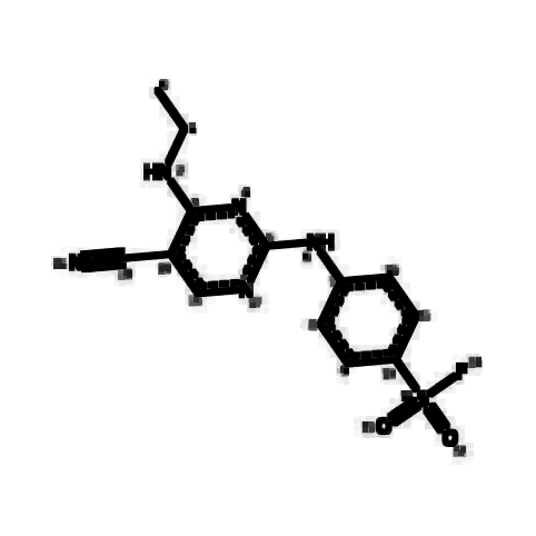 CCNc1nc(Nc2ccc(S(=O)(=O)F)cc2)ncc1C#N